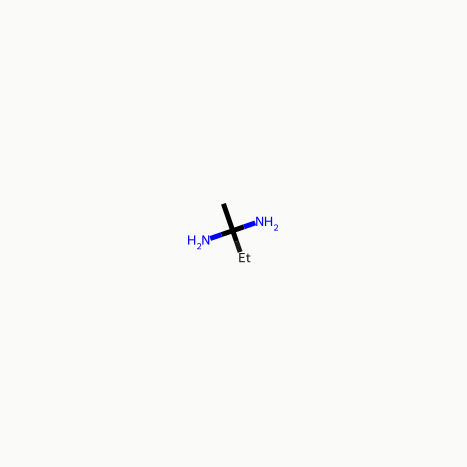 [CH2]CC(C)(N)N